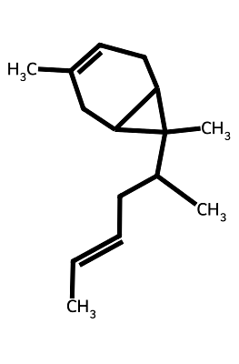 CC=CCC(C)C1(C)C2CC=C(C)CC21